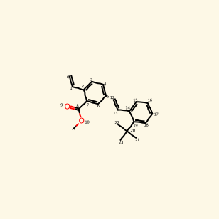 C=Cc1ccccc1C(=O)OC.C=Cc1ccccc1C(C)(C)C